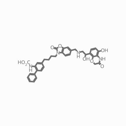 O=C(O)Nc1cc(CCCCn2c(=O)oc3cc(CNCC(O)c4ccc(O)c5c4OCC(=O)N5)ccc32)ccc1-c1ccccc1